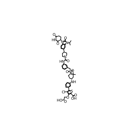 CC(C)n1c(=O)n(C2CCC(=O)NC2=O)c2ccc(C3CCN(C(=O)Nc4cccc(CS(=O)(=O)N5CC[C@@H](Nc6cccc(-c7sc(C(=O)O)c(OCC(=O)O)c7Cl)c6)CC5(C)C)c4)CC3)cc21